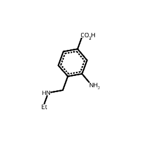 CCNCc1ccc(C(=O)O)cc1N